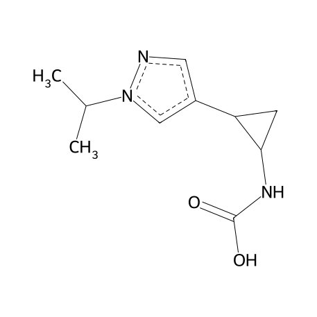 CC(C)n1cc(C2CC2NC(=O)O)cn1